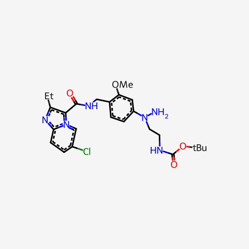 CCc1nc2ccc(Cl)cn2c1C(=O)NCc1ccc(N(N)CCNC(=O)OC(C)(C)C)cc1OC